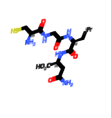 CC(C)C[C@H](NC(=O)CNC(=O)[C@@H](N)CS)C(=O)N[C@@H](CC(N)=O)C(=O)O